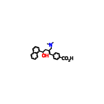 CN(C)CC(=Cc1ccc(C(=O)O)cc1)CC(O)c1cccc2ccccc12